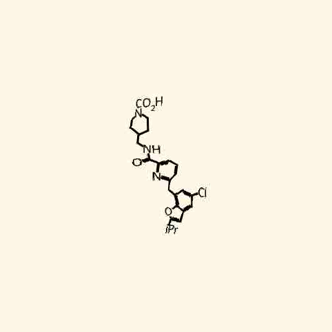 CC(C)c1cc2cc(Cl)cc(Cc3cccc(C(=O)NCC4CCN(C(=O)O)CC4)n3)c2o1